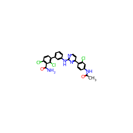 CC(=O)Nc1ccc(-c2ccnc(Nc3cccc(-c4ccc(Cl)c(C(N)=O)c4Cl)c3)n2)c(Cl)c1